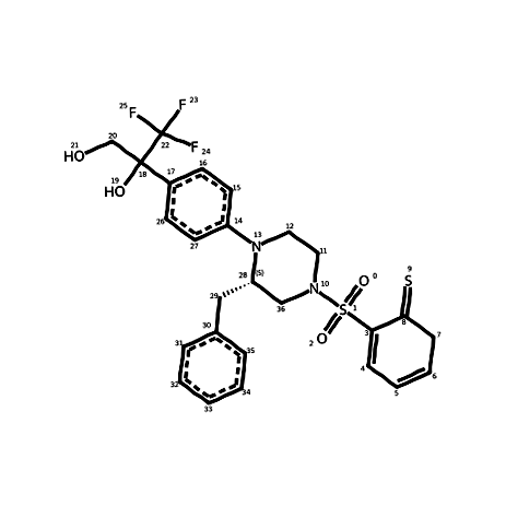 O=S(=O)(C1=CC=CCC1=S)N1CCN(c2ccc(C(O)(CO)C(F)(F)F)cc2)[C@@H](Cc2ccccc2)C1